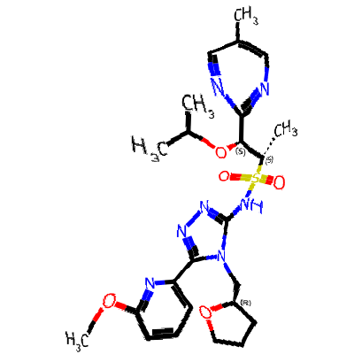 COc1cccc(-c2nnc(NS(=O)(=O)[C@@H](C)[C@@H](OC(C)C)c3ncc(C)cn3)n2C[C@H]2CCCO2)n1